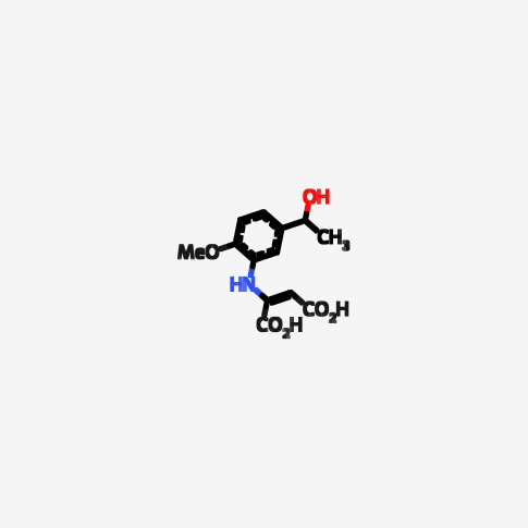 COc1ccc(C(C)O)cc1NC(=CC(=O)O)C(=O)O